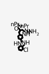 CCCN(CCC)C(=O)C1=Cc2ccc(C3NCc4c(Cl)cccc4N3)cc2NC(N=NN)C1